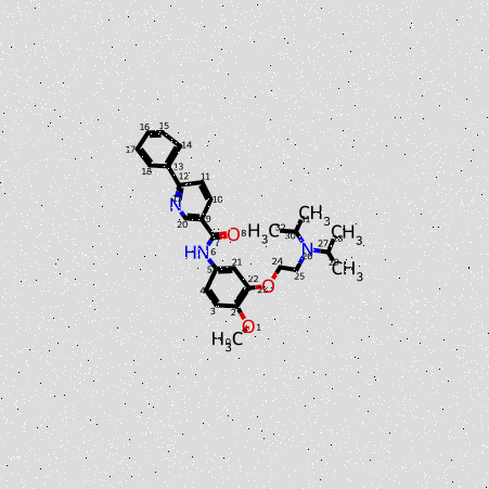 COc1ccc(NC(=O)c2ccc(-c3ccccc3)nc2)cc1OCCN(C(C)C)C(C)C